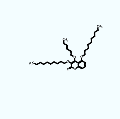 CCC=CCCOc1c(OCCCCCCCCCC)c(=O)oc2cccc(OCCCCCCCCCC)c12